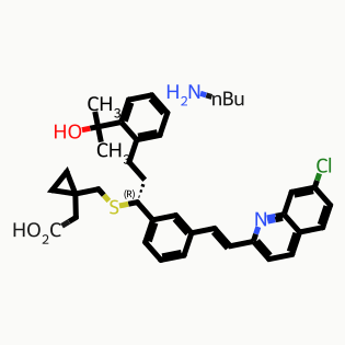 CC(C)(O)c1ccccc1CC[C@@H](SCC1(CC(=O)O)CC1)c1cccc(C=Cc2ccc3ccc(Cl)cc3n2)c1.CCCCN